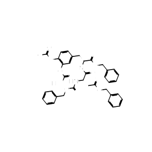 CC(=O)Oc1ccc(C[C@H](NC(=O)[C@H](CC(=O)OCc2ccccc2)NC(=O)OCc2ccccc2)C(=O)OCc2ccccc2)cc1OC(C)=O